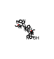 CCC1C[N@@]2CCC1CC2[C@@H](COc1nnc(OC[C@@H](c2ccnc3ccc(CO)cc23)[C@H]2C[C@H]3CCN2CC3CC)c2ccccc12)c1ccnc2ccc(OC)cc12